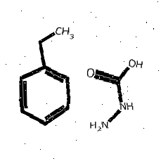 CCc1ccccc1.NNC(=O)O